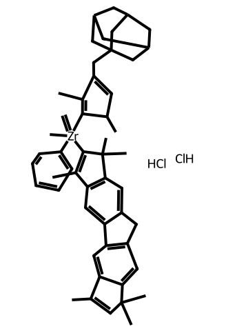 Cl.Cl.[CH2]=[Zr]([CH3])([C]1=C(C)C(CC23CC4CC(CC(C4)C2)C3)=CC1C)([C]1=C(C)c2cc3c(cc2C1(C)C)Cc1cc2c(cc1-3)C(C)=CC2(C)C)[c]1ccccc1